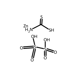 NC(=S)S.O=S(=O)(O)S(=O)(=O)O.[Zn]